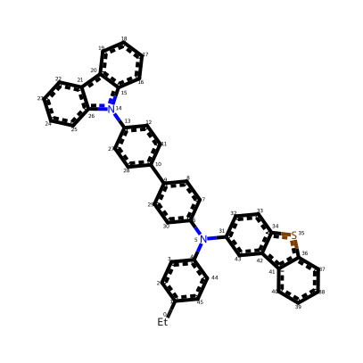 CCc1ccc(N(c2ccc(-c3ccc(-n4c5ccccc5c5ccccc54)cc3)cc2)c2ccc3sc4ccccc4c3c2)cc1